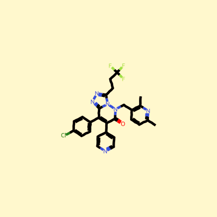 Cc1ccc(Cn2c(=O)c(-c3ccncc3)c(-c3ccc(Cl)cc3)c3nnc(CCC(F)(F)F)n32)c(C)n1